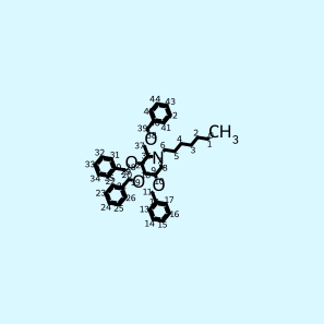 CCCCCCCN1CC(OCc2ccccc2)C(OCc2ccccc2)C(OCc2ccccc2)C1COCc1ccccc1